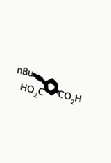 CCCCC#Cc1ccc(C(=O)O)cc1C(=O)O